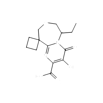 CCC1COCC2(CCC2)c2nc(C(=O)O)c(O)c(=O)n21